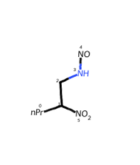 CCCC(CNN=O)[N+](=O)[O-]